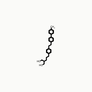 Cc1ccc(-c2ccc(CCc3ccc(CCCC(CO)CO)cc3)cc2)cc1